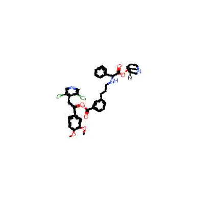 COc1ccc(C(Cc2c(Cl)cncc2Cl)OC(=O)c2cccc(CCCNC(C(=O)O[C@H]3CN4CCC3CC4)c3ccccc3)c2)cc1OC